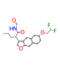 CCCC(C(=O)NC=O)c1coc2cc3ccc(OCC(F)F)cc3cc12